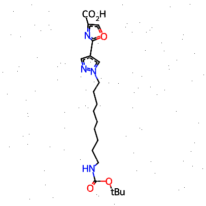 CC(C)(C)OC(=O)NCCCCCCCCCn1cc(-c2nc(C(=O)O)co2)cn1